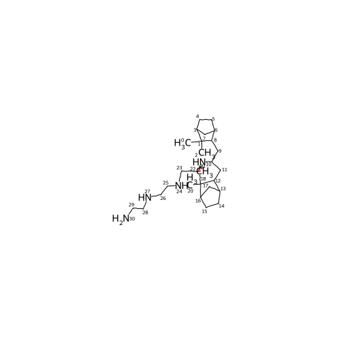 CC1(C)C2CCC(C2)C1CC(CC1C2CCC(C2)C1(C)C)NCCNCCNCCN